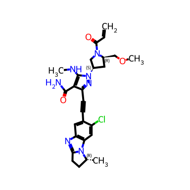 C=CC(=O)N1C[C@@H](n2nc(C#Cc3cc4nc5n(c4cc3Cl)[C@H](C)CC5)c(C(N)=O)c2NC)C[C@@H]1COC